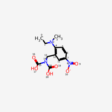 CCN(C)c1ccc([N+](=O)[O-])cc1CN(C(=O)O)C(=O)O